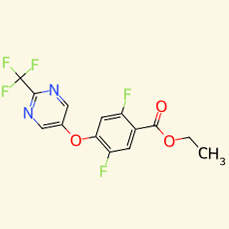 CCOC(=O)c1cc(F)c(Oc2cnc(C(F)(F)F)nc2)cc1F